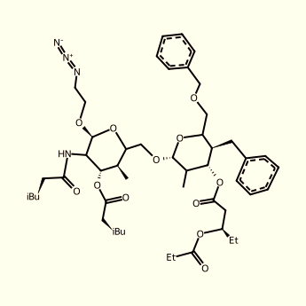 CCC(=O)O[C@H](CC)CC(=O)O[C@@H]1C(C)[C@H](OCC2O[C@H](OCCN=[N+]=[N-])C(NC(=O)C[C@H](C)CC)[C@@H](OC(=O)C[C@H](C)CC)[C@@H]2C)OC(COCc2ccccc2)[C@H]1Cc1ccccc1